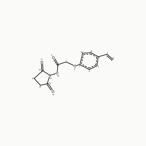 C=Cc1ccc(OCC(=O)ON2C(=O)CCC2=O)cc1